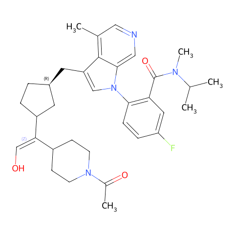 CC(=O)N1CCC(/C(=C\O)C2CC[C@@H](Cc3cn(-c4ccc(F)cc4C(=O)N(C)C(C)C)c4cncc(C)c34)C2)CC1